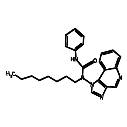 CCCCCCCCN(C(=O)Nc1ccccc1)n1cnc2cnc3ccccc3c21